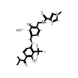 CC(C)C(=O)c1ccc(OCc2ccc(CNC(=O)c3cn(C)cn3)c(Cl)c2)c(C(F)(F)F)c1O.Cl